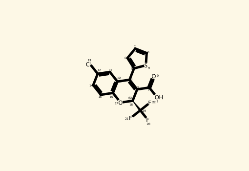 O=C(O)C1=C(c2cccs2)c2cc(Cl)ccc2O[C@@H]1C(F)(F)F